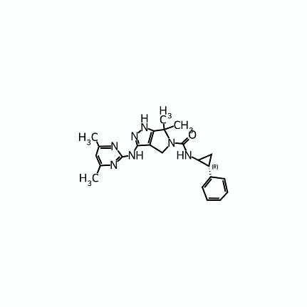 Cc1cc(C)nc(Nc2n[nH]c3c2CN(C(=O)NC2C[C@@H]2c2ccccc2)C3(C)C)n1